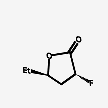 CC[C@@H]1C[C@@H](F)C(=O)O1